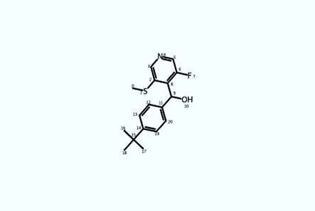 CSc1cncc(F)c1C(O)c1ccc(C(C)(C)C)cc1